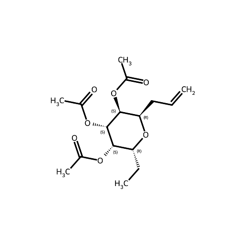 C=CC[C@H]1O[C@H](CC)[C@H](OC(C)=O)[C@H](OC(C)=O)[C@H]1OC(C)=O